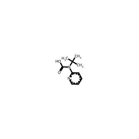 CC(C)(C)N(C(=O)O)c1ccccn1